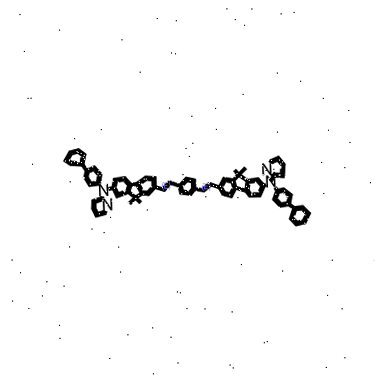 CC1(C)c2cc(/C=C/c3ccc(/C=C/c4ccc5c(c4)C(C)(C)c4cc(N(c6ccc(-c7ccccc7)cc6)c6ccccn6)ccc4-5)cc3)ccc2-c2ccc(N(c3ccc(-c4ccccc4)cc3)c3ccccn3)cc21